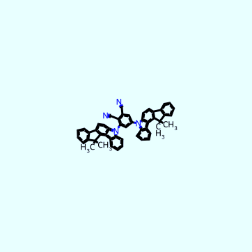 CC1(C)c2ccccc2-c2ccc3c(c21)c1ccccc1n3-c1cc(C#N)c(C#N)c(-n2c3ccccc3c3c4c(ccc32)-c2ccccc2C4(C)C)c1